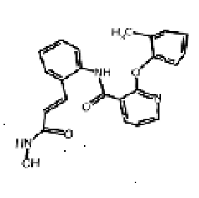 Cc1ccccc1Oc1ncccc1C(=O)Nc1ccccc1/C=C/C(=O)NO